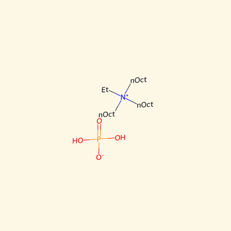 CCCCCCCC[N+](CC)(CCCCCCCC)CCCCCCCC.O=P([O-])(O)O